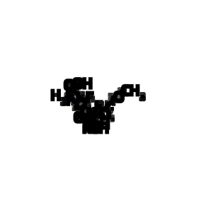 CCOCCCc1cccc(-c2csc(C(=O)c3cc(F)c(/C=C(\C)C(=O)O)c(F)c3)n2)c1F.[NaH].[NaH]